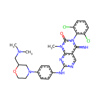 CN(C)CC1CN(c2ccc(Nc3ncc4c(=N)n(-c5c(Cl)cccc5Cl)c(=O)n(C)c4n3)cc2)CCO1